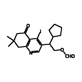 CC1(C)CC(=O)c2c(ncc(C(COC=O)C3CCCC3)c2I)C1